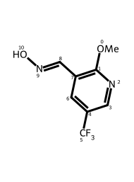 COc1ncc(C(F)(F)F)cc1C=NO